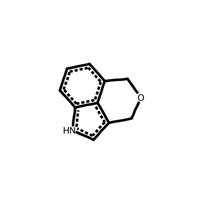 c1cc2c3c(c[nH]c3c1)COC2